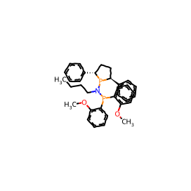 CCCCN(P(c1ccccc1OC)c1ccccc1OC)P1[C@H](c2ccccc2)CC[C@H]1c1ccccc1